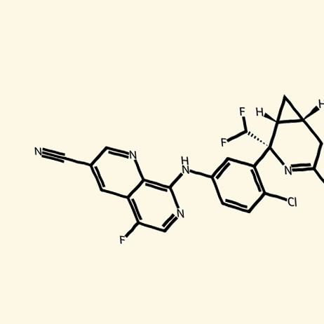 N#Cc1cnc2c(Nc3ccc(Cl)c([C@]4(C(F)F)N=C(N)C[C@H]5C[C@H]54)c3)ncc(F)c2c1